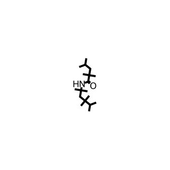 CC(C)CC(C)(C)C(=O)NC(C)(C)CC(C)(C)C(C)C